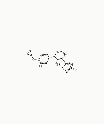 O=c1[nH]c(-c2ncnc(-c3ccc(OC4CC4)c(Cl)c3)c2O)no1